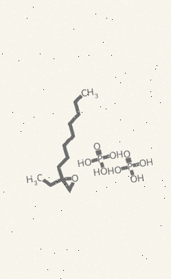 CCCCCCCCC1(CC)CO1.O=P(O)(O)O.O=P(O)(O)O